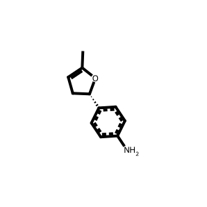 CC1=CC[C@@H](c2ccc(N)cc2)O1